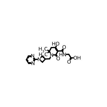 CC1(C)CC(O)=C(C(=O)NCC(=O)O)C(=O)N1CC1CN(c2ncccn2)C1